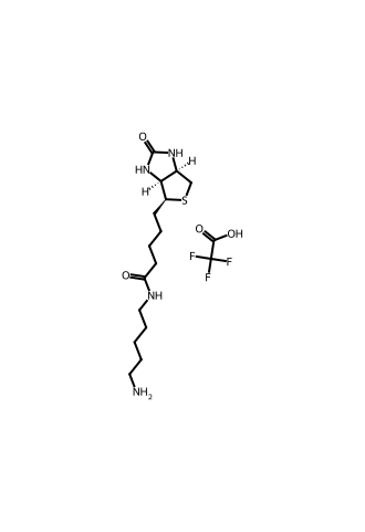 NCCCCCNC(=O)CCCC[C@@H]1SC[C@@H]2NC(=O)N[C@@H]21.O=C(O)C(F)(F)F